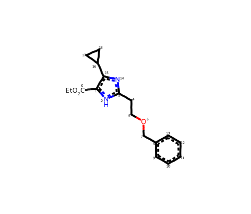 CCOC(=O)c1[nH]c(CCOCc2ccccc2)nc1C1CC1